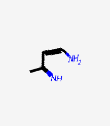 CC(=N)/C=C\N